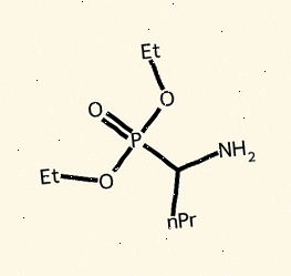 CCCC(N)P(=O)(OCC)OCC